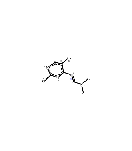 CN(C)/C=N/c1nc(Cl)ncc1C#N